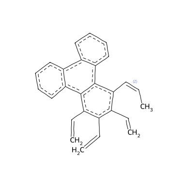 C=Cc1c(C=C)c(/C=C\C)c2c3ccccc3c3ccccc3c2c1C=C